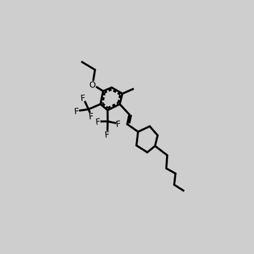 CCCCCC1CCC(/C=C/c2c(C)cc(OCC)c(C(F)(F)F)c2C(F)(F)F)CC1